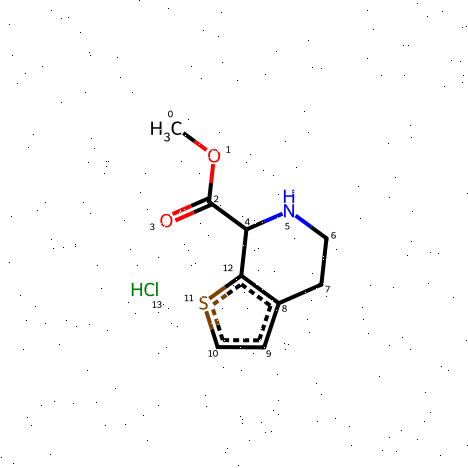 COC(=O)C1NCCc2ccsc21.Cl